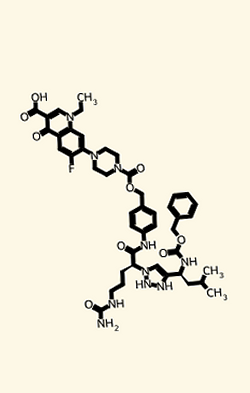 CCn1cc(C(=O)O)c(=O)c2cc(F)c(N3CCN(C(=O)OCc4ccc(NC(=O)[C@H](CCCNC(N)=O)N5C=C([C@H](CC(C)C)NC(=O)OCc6ccccc6)NN5)cc4)CC3)cc21